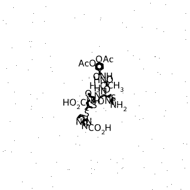 CC(=O)Oc1ccc(C(=O)NNC(=O)C(C)(C)ON=C(C(=O)NC2C(=O)N3C(C(=O)O)=C(CSc4ccnc5nc(C(=O)O)nn45)CS[C@@H]23)c2csc(N)n2)cc1OC(C)=O